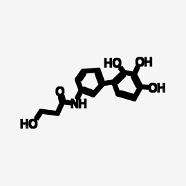 O=C(CCO)Nc1cccc(-c2ccc(O)c(O)c2O)c1